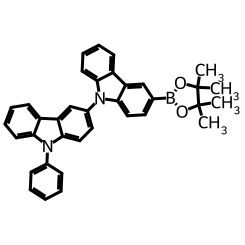 CC1(C)OB(c2ccc3c(c2)c2ccccc2n3-c2ccc3c(c2)c2ccccc2n3-c2ccccc2)OC1(C)C